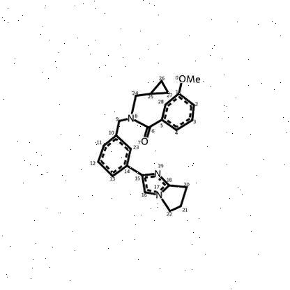 COc1cccc(C(=O)N(Cc2cccc(-c3cn4c(n3)CCC4)c2)CC2CC2)c1